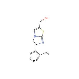 O=[N+]([O-])c1ccccc1C1CN2C=C(CO)SC2=N1